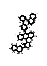 c1ccc(-c2cccc3ccccc23)c(-c2ccc(-c3c4ccccc4c(-c4cccc5c4sc4c6ccccc6ccc54)c4ccccc34)cc2)c1